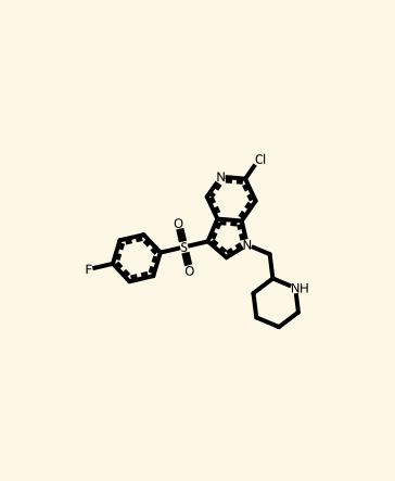 O=S(=O)(c1ccc(F)cc1)c1cn(CC2CCCCN2)c2cc(Cl)ncc12